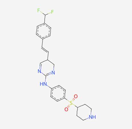 O=S(=O)(c1ccc(NC2=NCC(/C=C/c3ccc(C(F)F)cc3)C=N2)cc1)C1CCNCC1